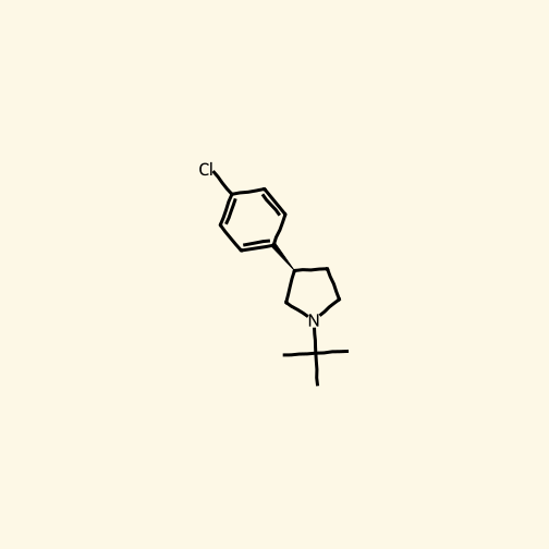 CC(C)(C)N1CC[C@H](c2ccc(Cl)cc2)C1